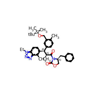 CCn1nnc2c(C)c([C@@H](c3ccc(C)c(CO[Si](C)(C)C(C)(C)C)c3)[C@H](C)C(=O)N3C(=O)OC[C@@H]3Cc3ccccc3)ccc21